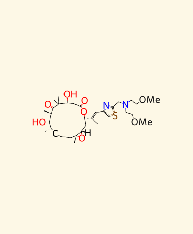 COCCN(CCOC)Cc1nc(C=C(C)[C@@H]2C[C@@H]3O[C@]3(C)CCC[C@H](C)[C@H](O)[C@@H](C)C(=O)C(C)(C)[C@@H](O)CC(=O)O2)cs1